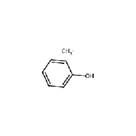 Oc1ccccc1.[CH3]